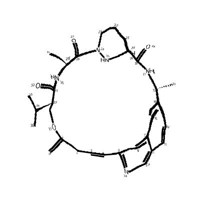 C=C1C/C=C/c2cc3cc(ccc3cn2)[C@@H](C)NC(=O)[C@@H]2CCCN(N2)C(=O)[C@H](C)NC(=O)[C@H](C(C)C)O1